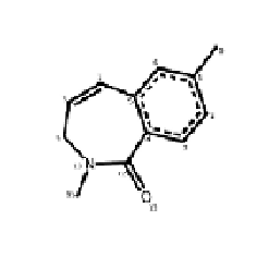 Cc1ccc2c(c1)C=CCN(C)C2=O